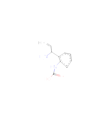 C=CC(N)c1ccccc1NC(=O)O